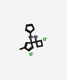 CC[Si]1([C]2([Ti+2][C]3=CC=CC3)C=CC(C)=C2)CCC1.[Cl-].[Cl-]